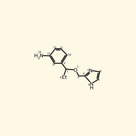 CCC(OCc1ncc[nH]1)c1cccc(N)c1